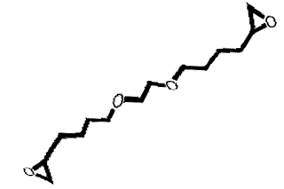 C(CCC1CO1)COCCOCCCCC1CO1